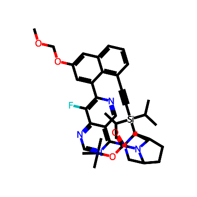 COCOc1cc(-c2ncc3c(N4CC5CCC(C4)N5C(=O)OC(C)(C)C)ncnc3c2F)c2c(C#C[Si](C(C)C)(C(C)C)C(C)C)cccc2c1